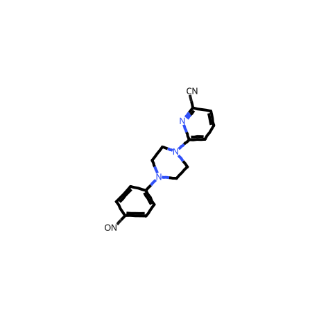 N#Cc1cccc(N2CCN(c3ccc(N=O)cc3)CC2)n1